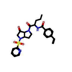 C=Cc1ccc(C(=O)NC(CCC)C(=O)N2CCC3C2C(=O)CN3S(=O)(=O)c2ccccn2)cc1